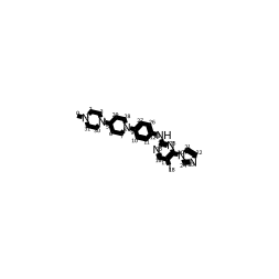 CN1CCN(C2CCN(c3ccc(Nc4ncc(I)c(-n5ccnc5)n4)cc3)CC2)CC1